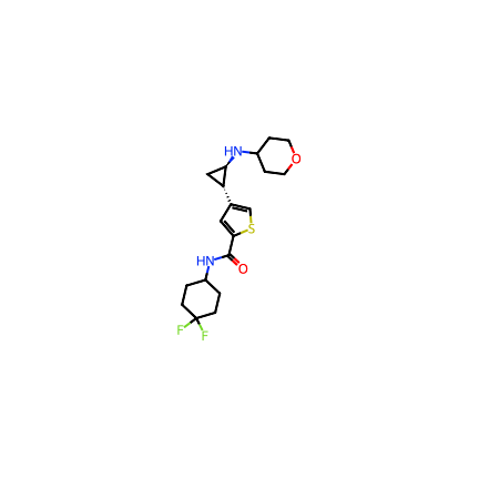 O=C(NC1CCC(F)(F)CC1)c1cc([C@@H]2C[C@H]2NC2CCOCC2)cs1